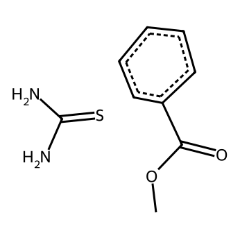 COC(=O)c1ccccc1.NC(N)=S